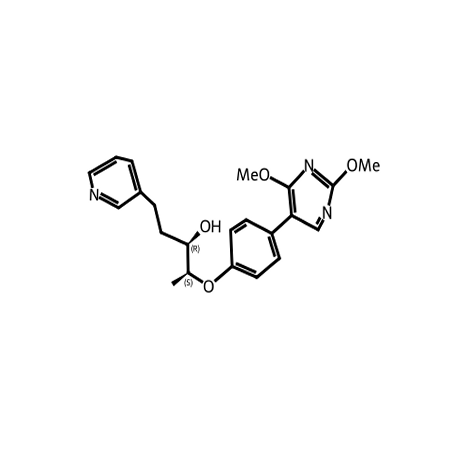 COc1ncc(-c2ccc(O[C@@H](C)[C@H](O)CCc3cccnc3)cc2)c(OC)n1